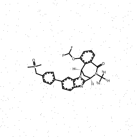 [2H]C([2H])([2H])N1C(=O)c2cccc(OC(F)F)c2[C@H]2C[C@@H]1c1nc3ccc(-c4ccc(CP(C)(C)=O)cc4)cc3n12